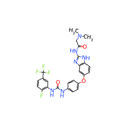 CN(C)CC(=O)Nc1nc2cc(Oc3ccc(NC(=O)Nc4cc(C(F)(F)F)ccc4F)cc3)ccc2[nH]1